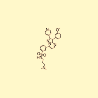 COc1cccc(-c2c(-c3ccncc3)nn3c(-c4cccc(S(=O)(=O)NCCCN(C)C)c4)ccnc23)c1